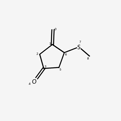 C=C1CC(=O)CC1SC